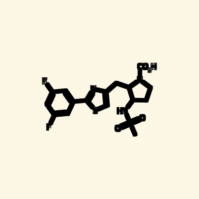 CS(=O)(=O)NC1CCN(C(=O)O)C1Cc1csc(-c2cc(F)cc(F)c2)n1